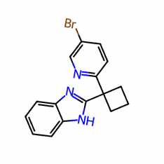 Brc1ccc(C2(c3nc4ccccc4[nH]3)CCC2)nc1